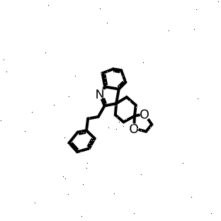 c1ccc(CCC2=Nc3ccccc3C23CCC2(CC3)OCCO2)cc1